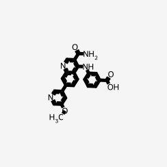 COc1cncc(-c2ccc3c(Nc4cccc(C(=O)O)c4)c(C(N)=O)cnc3c2)c1